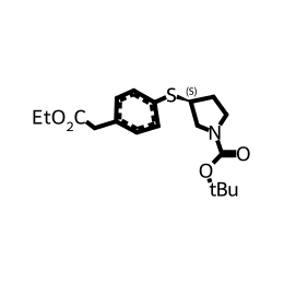 CCOC(=O)Cc1ccc(S[C@H]2CCN(C(=O)OC(C)(C)C)C2)cc1